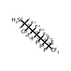 CC(C)([SiH3])C(F)(Cl)C(F)(F)C(F)(F)C(F)(F)C(F)(F)C(F)(F)C(F)(F)F